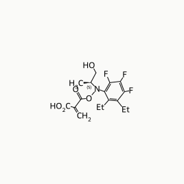 C=C(C(=O)O)C(=O)ON(c1c(F)c(F)c(F)c(CC)c1CC)[C@@H](C)CO